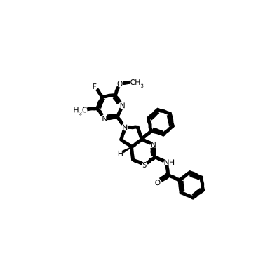 COc1nc(N2C[C@H]3CSC(NC(=O)c4ccccc4)=NC3(c3ccccc3)C2)nc(C)c1F